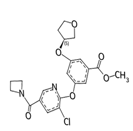 COC(=O)c1cc(Oc2ncc(C(=O)N3CCC3)cc2Cl)cc(O[C@H]2CCOC2)c1